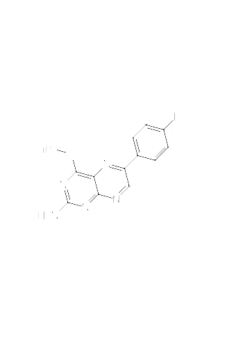 CC(C)Oc1nc(N)nc2ncc(-c3ccc(F)cc3)nc12